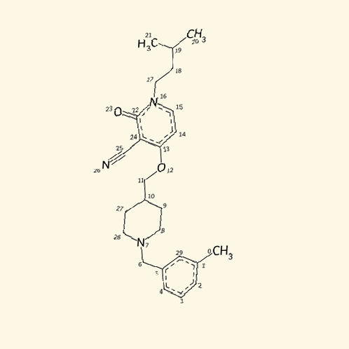 Cc1cccc(CN2CCC(COc3ccn(CCC(C)C)c(=O)c3C#N)CC2)c1